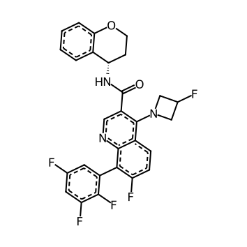 O=C(N[C@H]1CCOc2ccccc21)c1cnc2c(-c3cc(F)cc(F)c3F)c(F)ccc2c1N1CC(F)C1